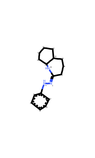 c1ccc(NN=C2CCCC3CCCCC3N2)cc1